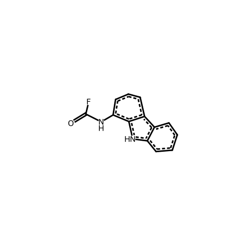 O=C(F)Nc1cccc2c1[nH]c1ccccc12